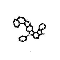 c1ccc(-n2c3cc4c(cc3c3c5c(ccc32)[nH]c2ccccc25)sc2ccc3ccccc3c24)cc1